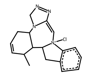 CC1C=CCC2C1C1Cc3ccccc3[N+]1(Cl)C=C1N=NCN12